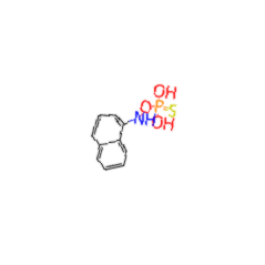 OP(O)(=S)ONc1cccc2ccccc12